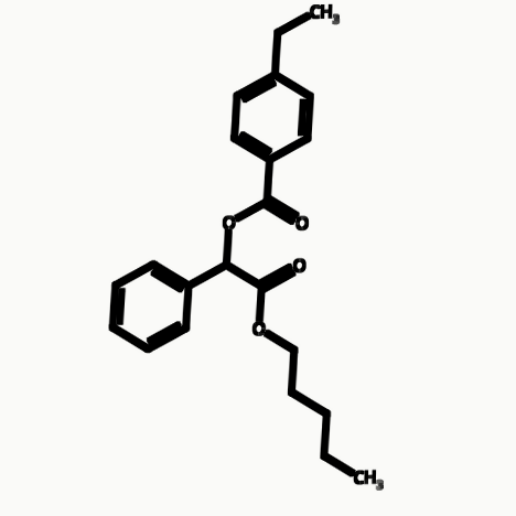 CCCCCOC(=O)C(OC(=O)c1ccc(CC)cc1)c1ccccc1